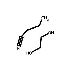 OCCO.[CH2]CCC#N